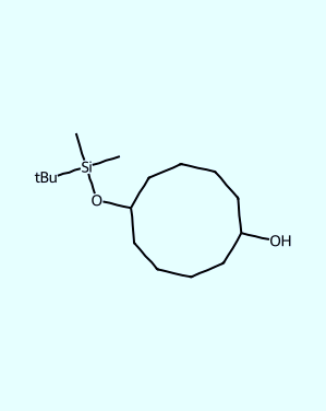 CC(C)(C)[Si](C)(C)OC1CCCCC(O)CCCC1